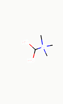 C[N+](C)(C)C(O)O